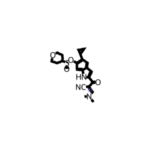 CN(C)/C=C(\C#N)C(=O)c1cc2cc(C3CC3)c(OS(=O)C3CCOCC3)cc2[nH]1